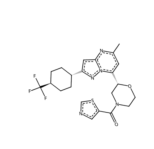 Cc1cc([C@H]2CN(C(=O)c3cncs3)CCO2)n2nc([C@H]3CC[C@H](C(F)(F)F)CC3)cc2n1